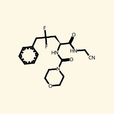 N#CCNC(=O)[C@H](CC(F)(F)Cc1ccccc1)NC(=O)N1CCOCC1